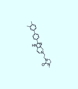 Cc1ccc(-c2ccc(-c3nc4c([nH]3)C=CN(CCN3CCN(C)C3=O)C4)cc2)cc1C